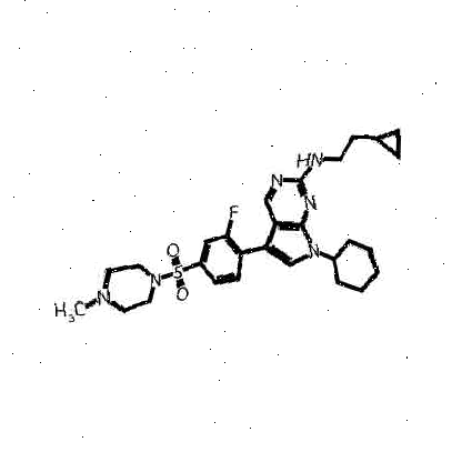 CN1CCN(S(=O)(=O)c2ccc(-c3cn(C4CCCCC4)c4nc(NCCC5CC5)ncc34)c(F)c2)CC1